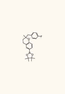 CC1(Cc2ccc(F)cc2)CCc2cc(B3OC(C)(C)C(C)(C)O3)ccc2O1